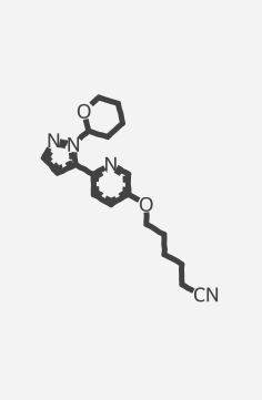 N#CCCCCCOc1ccc(-c2ccnn2C2CCCCO2)nc1